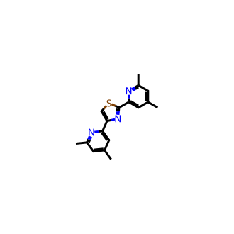 Cc1cc(C)nc(-c2csc(-c3cc(C)cc(C)n3)n2)c1